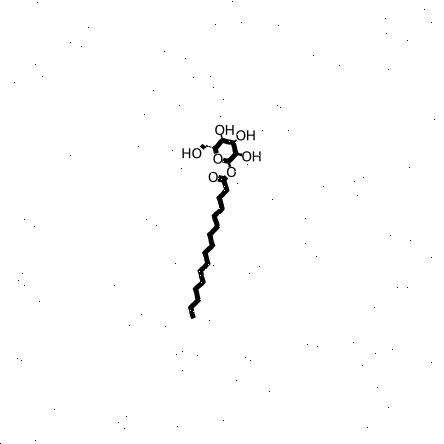 CCCCCCCCCCCCCCCC(=O)O[C@H]1O[C@H](CO)[C@H](O)[C@H](O)[C@H]1O